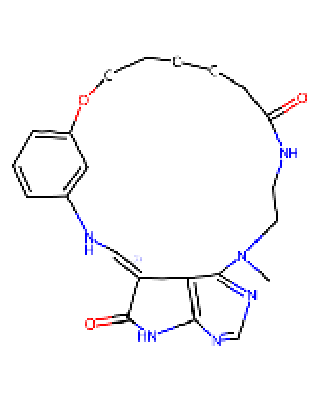 CN1CCNC(=O)CCCCCOc2cccc(c2)N/C=C2\C(=O)Nc3ncnc1c32